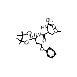 COCC(NC(=O)O)C(=O)NC(CCOc1ccccc1)B1OC(C)(C)C(C)(C)O1